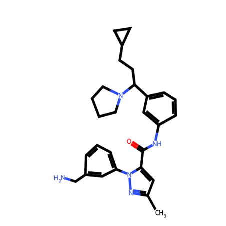 Cc1cc(C(=O)Nc2cccc(C(CCC3CC3)N3CCCC3)c2)n(-c2cccc(CN)c2)n1